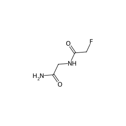 NC(=O)CNC(=O)CF